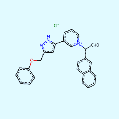 O=CC(c1ccc2ccccc2c1)[n+]1cccc(-c2cc(COc3ccccc3)n[nH]2)c1.[Cl-]